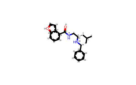 CC(C)C[C@@H](CNC(=O)c1cccc2occc12)NCc1ccccc1